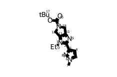 CCn1c(-c2ccn(C)n2)nc2c1CN(C(=O)OC(C)(C)C)C2